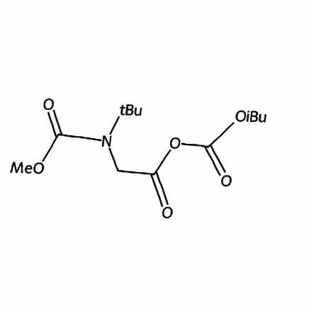 COC(=O)N(CC(=O)OC(=O)OCC(C)C)C(C)(C)C